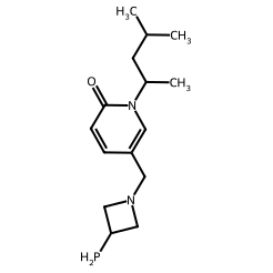 CC(C)CC(C)n1cc(CN2CC(P)C2)ccc1=O